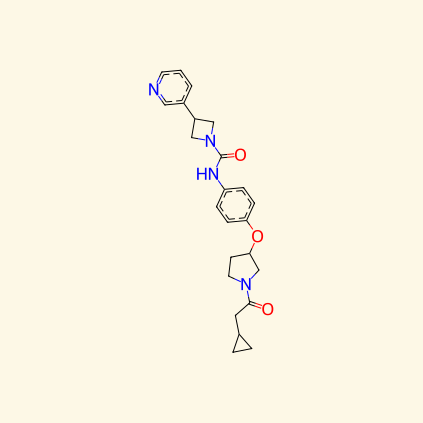 O=C(CC1CC1)N1CCC(Oc2ccc(NC(=O)N3CC(c4cccnc4)C3)cc2)C1